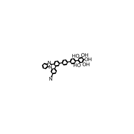 N#Cc1ccc2c3cc(-c4ccc(-c5ccc(-c6c(O)c(O)c(O)c(O)c6O)cc5)cc4)ccc3c3nc4ccccc4n3c2c1